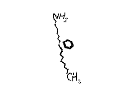 CCCCCCCCCCCCCCCCCCN.c1ccccc1